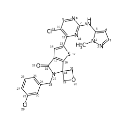 Cn1nccc1Nc1ncc(Cl)c(-c2cc3c(s2)C2(COC2)N(Cc2cccc(Cl)c2)C3=O)n1